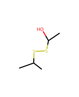 CC(C)SSC(C)O